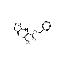 C=C1CCO/C1=N/C(C(=O)OCc1ccccc1)=C(\C)CC